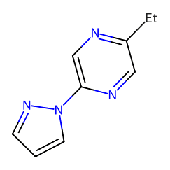 CCc1cnc(-n2cccn2)cn1